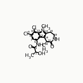 C[C@H](O)C(=O)Nc1cc(Cl)c(Cl)c2c1c1c(n2C)CCNC(=O)[C@@H]1C